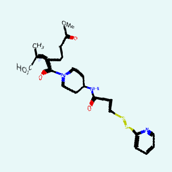 COC(=O)CC/C(C(=O)N1CCC(NC(=O)CCSSc2ccccn2)CC1)=C(\C)C(=O)O